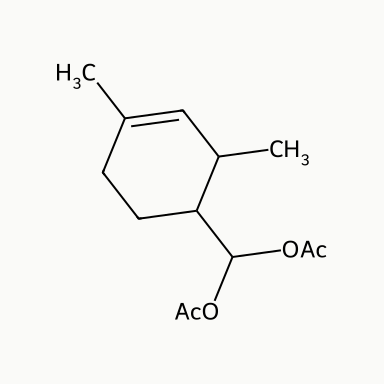 CC(=O)OC(OC(C)=O)C1CCC(C)=CC1C